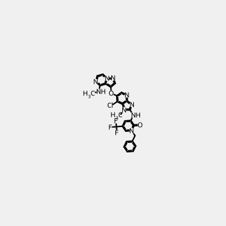 CNc1nccn2ncc(Oc3cnc4nc(Nc5cc(C(F)(F)F)cn(Cc6ccccc6)c5=O)n(C)c4c3Cl)c12